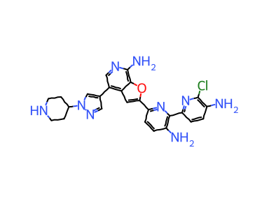 Nc1ccc(-c2nc(-c3cc4c(-c5cnn(C6CCNCC6)c5)cnc(N)c4o3)ccc2N)nc1Cl